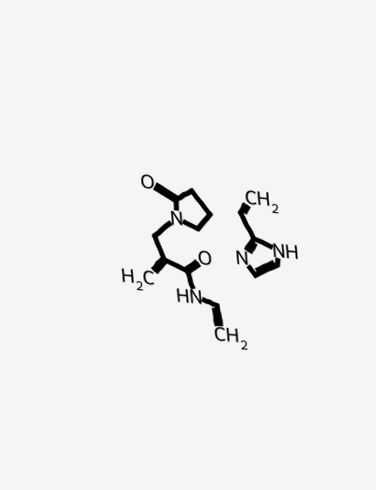 C=CNC(=O)C(=C)CN1CCCC1=O.C=Cc1ncc[nH]1